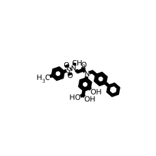 Cc1ccc(S(=O)(=O)N(C)CC(=O)N(Cc2ccc(C3CCCCC3)cc2)c2ccc(C(O)O)c(O)c2)cc1